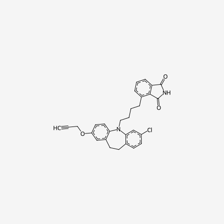 C#CCOc1ccc2c(c1)CCc1ccc(Cl)cc1N2CCCCc1cccc2c1C(=O)NC2=O